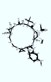 CC[C@@H]1[C@@H]2CN(C(=O)[C@H](C(C)(C)C)NC(=O)O[C@@H]3C[C@H]3CCCCC3(CC3)c3nc4ccc(OC)cc4nc3O2)[C@@H]1C(C)=O